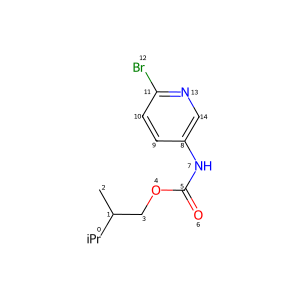 CC(C)C(C)COC(=O)Nc1ccc(Br)nc1